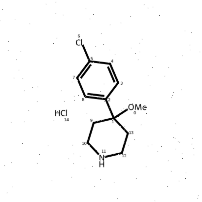 COC1(c2ccc(Cl)cc2)CCNCC1.Cl